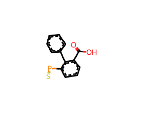 O=C(O)c1cccc(P=S)c1-c1ccccc1